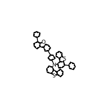 c1ccc(-c2cccc3c2oc2ccc(-c4ccc(N(c5cccc6sc7ccccc7c56)c5ccc(-c6ccccc6)c6sc7ccccc7c56)cc4)cc23)cc1